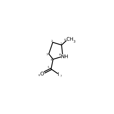 CC1CCC(C(=O)I)N1